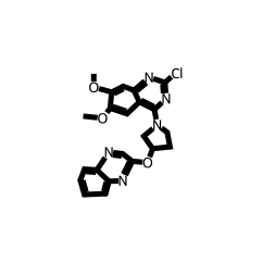 COc1cc2nc(Cl)nc(N3CCC(Oc4cnc5ccccc5n4)C3)c2cc1OC